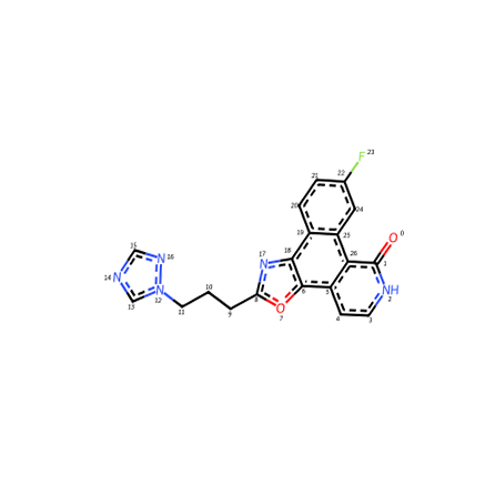 O=c1[nH]ccc2c3oc(CCCn4cncn4)nc3c3ccc(F)cc3c12